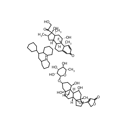 C1CCC(C(CC2CCCCN2)C2CCCCC2)CC1.C[C@@H]1C[C@H]2[C@@H]3CCC4=CC(=O)C=C[C@]4(C)[C@@]3(F)[C@@H](O)C[C@]2(C)[C@@]1(O)C(=O)CO.C[C@@H]1O[C@@H](O[C@H]2C[C@@H](O)[C@]3(CO)[C@H]4[C@H](O)C[C@]5(C)[C@@H](C6=CC(=O)OC6)CC[C@]5(O)[C@@H]4CC[C@]3(O)C2)[C@H](O)[C@H](O)[C@H]1O